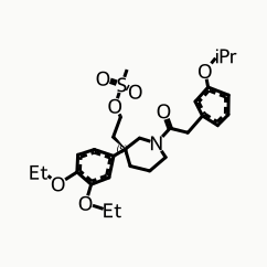 CCOc1ccc([C@@]2(CCOS(C)(=O)=O)CCCN(C(=O)Cc3cccc(OC(C)C)c3)C2)cc1OCC